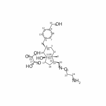 C[C@]12CC[C@H](Cc3ccc(CO)cc3)C[C@@]1(O)CC[C@@H]2C=NOCCN.O=C(O)C(=O)O